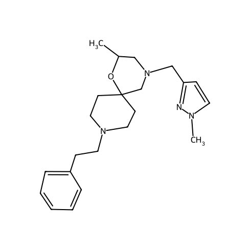 CC1CN(Cc2ccn(C)n2)CC2(CCN(CCc3ccccc3)CC2)O1